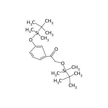 CC(C)(C)[Si](C)(C)OCC(=O)c1cccc(O[Si](C)(C)C(C)(C)C)c1